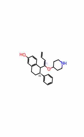 C=C/C=C(/OC1CCNCC1)C1c2ccc(O)cc2CC[C@@H]1c1ccccc1